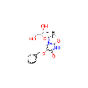 C[C@]1(n2cc(OCc3ccccc3)c(=O)[nH]c2=O)C[C@H](O)[C@@H](CO)O1